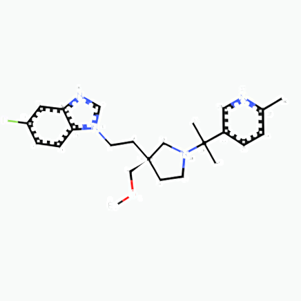 CCOC[C@]1(CCn2cnc3cc(F)ccc32)CCN(C(C)(C)c2ccc(C)nc2)C1